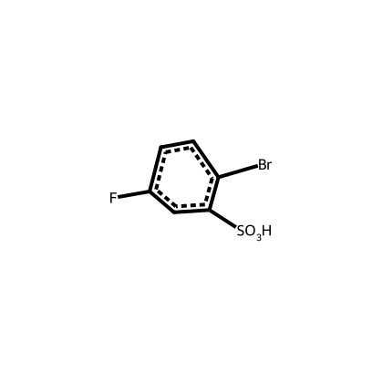 O=S(=O)(O)c1cc(F)ccc1Br